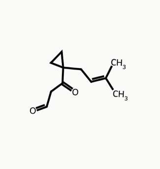 CC(C)=CCC1(C(=O)CC=O)CC1